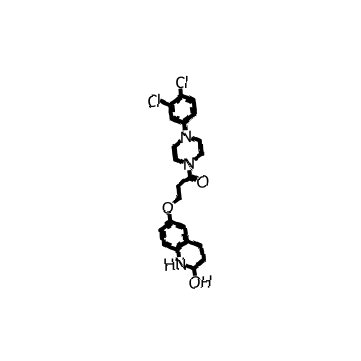 O=C(CCOc1ccc2c(c1)CCC(O)N2)N1CCN(c2ccc(Cl)c(Cl)c2)CC1